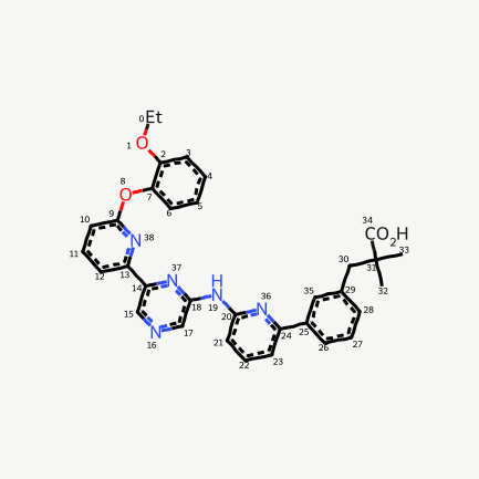 CCOc1ccccc1Oc1cccc(-c2cncc(Nc3cccc(-c4cccc(CC(C)(C)C(=O)O)c4)n3)n2)n1